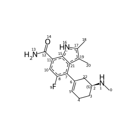 CN[C@H]1CCC=C(c2c(F)cc(C(N)=O)c3[nH]c(C)c(C)c23)C1